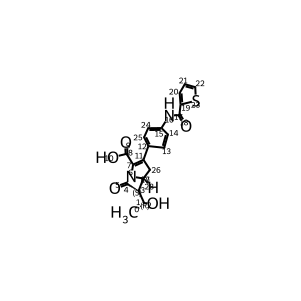 C[C@@H](O)[C@H]1C(=O)N2C(C(=O)O)=C(c3ccc(NC(=O)c4cccs4)cc3)C[C@H]12